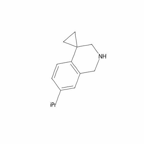 CC(C)c1ccc2c(c1)CNCC21CC1